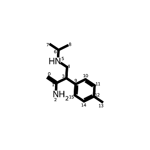 C=C(N)C(CNC(C)C)c1ccc(C)cc1